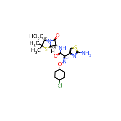 CC1(C)S[C@@H]2[C@@H](NC(=O)/C(=N\O[C@H]3CC[C@H](Cl)CC3)c3csc(N)n3)C(=O)N2[C@H]1C(=O)O